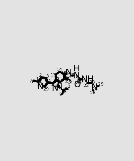 Cc1ccc(-c2nn(C(C)C)c3c2CCc2nc(NC(=O)NCCN(C)C)sc2-3)cn1